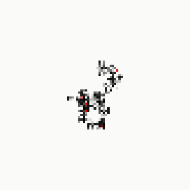 CC[C@H](C)[C@@H]1NC(=O)CNC(=O)[C@H]2Cc3c([nH]c4ccccc34)SCC(NC(=O)CNC1=O)C(=O)N[C@@H](CC(=O)NCc1ccc(NC(=O)[C@H](C)NC(=O)[C@@H](NC(=O)OCN3C(=O)C=CC3=O)C(C)C)cc1)C(=O)N1C[C@H](O)C[C@@]1(C=O)N[C@@H]([C@@H](C)[C@@H](O)CO)C(=O)N2